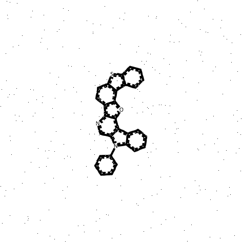 c1ccc(-n2c3ccccc3c3c4oc5c(ccc6sc7ccccc7c65)c4ncc32)cc1